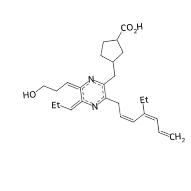 C=C/C=C(\C=C/Cc1nc(=C/CC)/c(=C\CCO)nc1CC1CCC(C(=O)O)C1)CC